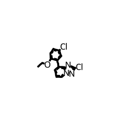 CCOc1ccc(Cl)cc1-c1cccn2nc(Cl)nc12